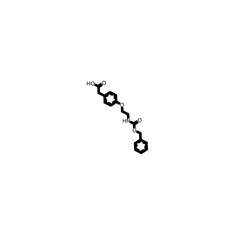 O=C(O)Cc1ccc(OCCNC(=O)OCc2ccccc2)cc1